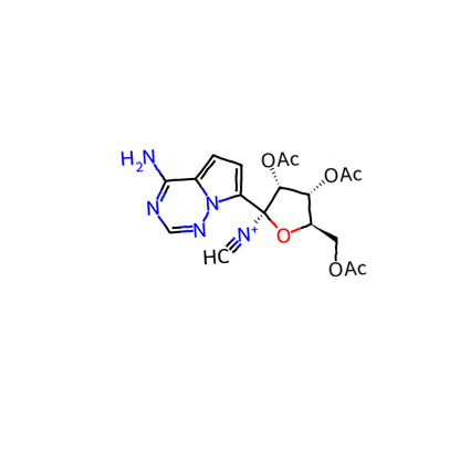 C#[N+][C@@]1(c2ccc3c(N)ncnn23)O[C@H](COC(C)=O)[C@@H](OC(C)=O)[C@H]1OC(C)=O